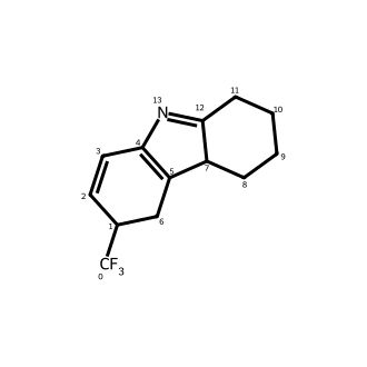 FC(F)(F)C1C=CC2=C(C1)C1CCCCC1=N2